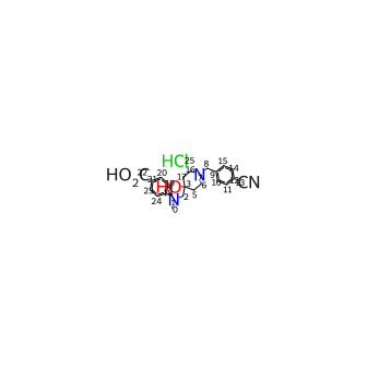 CN(CC1(O)CCN(Cc2ccc(C#N)cc2)CC1)c1ccc(C(=O)O)cc1.Cl